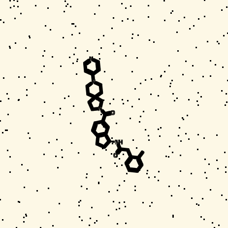 Cc1ccccc1CC(=O)N[C@@H]1CCc2ccc(C(=O)N3CCC4(CCN(c5ccncc5)CC4)C3)cc21